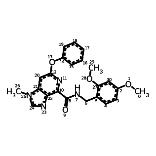 COc1ccc(CNC(=O)c2nc(Oc3ccccc3)cc3c2ncn3C)c(OC)c1